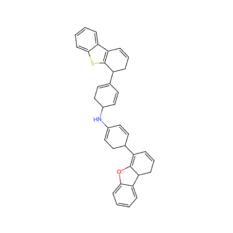 C1=CC(C2C=CC(NC3C=CC(C4CC=Cc5c4sc4ccccc54)=CC3)=CC2)=C2Oc3ccccc3C2C1